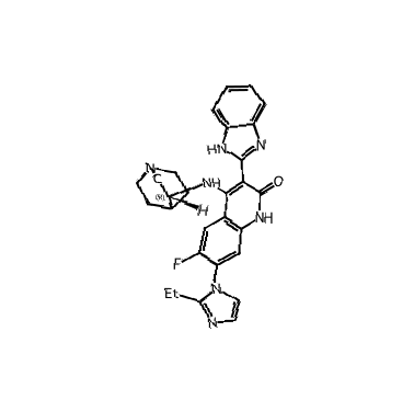 CCc1nccn1-c1cc2[nH]c(=O)c(-c3nc4ccccc4[nH]3)c(N[C@H]3CN4CCC3CC4)c2cc1F